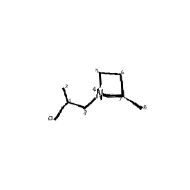 CC(C)CN1CC[C@H]1C